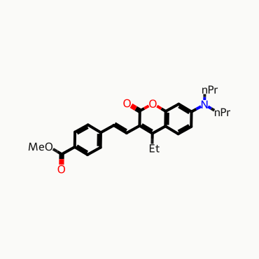 CCCN(CCC)c1ccc2c(CC)c(/C=C/c3ccc(C(=O)OC)cc3)c(=O)oc2c1